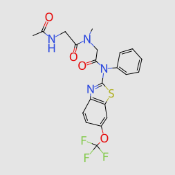 CC(=O)NCC(=O)N(C)CC(=O)N(c1ccccc1)c1nc2ccc(OC(F)(F)F)cc2s1